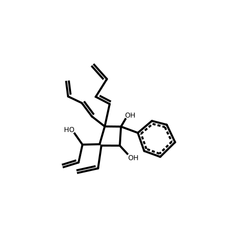 C=CC=CC(C=CC=C)(CC(O)C=C)C(O)(c1ccccc1)C(O)CC=C